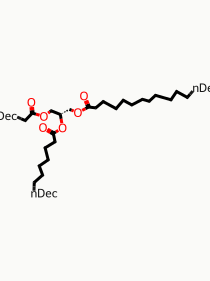 CCCCCCCCCCCCCCCCCCCCCC(=O)OC[C@@H](COC(=O)CCCCCCCCCCC)OC(=O)CCCCCCCCCCCCCCCC